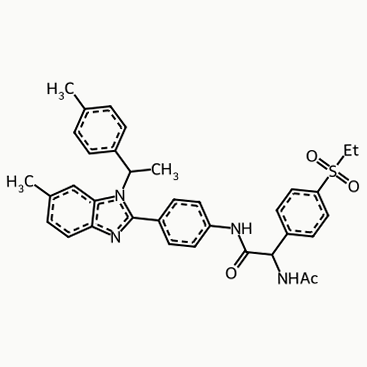 CCS(=O)(=O)c1ccc(C(NC(C)=O)C(=O)Nc2ccc(-c3nc4ccc(C)cc4n3C(C)c3ccc(C)cc3)cc2)cc1